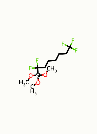 CO[Si](OC)(OC)C(F)(F)CCCCCC(F)(F)F